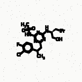 CC(C)C[C@H](CO)Nc1nc(CC(C)c2ccc(F)c(Cl)c2)nc(NS(C)(=O)=O)n1